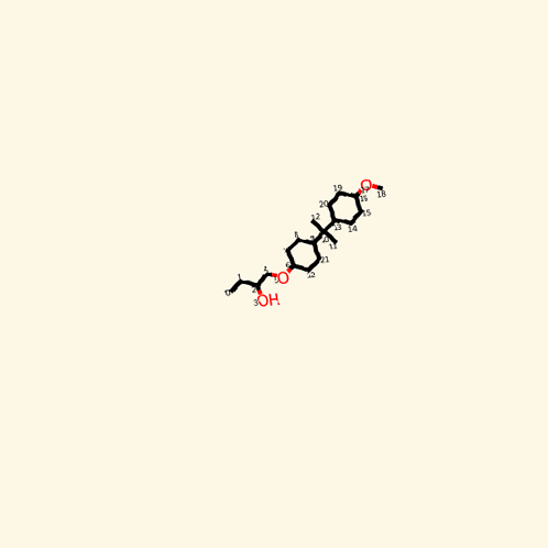 CCC(O)COC1CCC(C(C)(C)C2CCC(OC)CC2)CC1